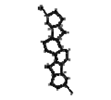 Cc1ccc2[nH]c3c(ccc4c3ccc3c5cc(C(F)(F)F)ccc5sc34)c2c1